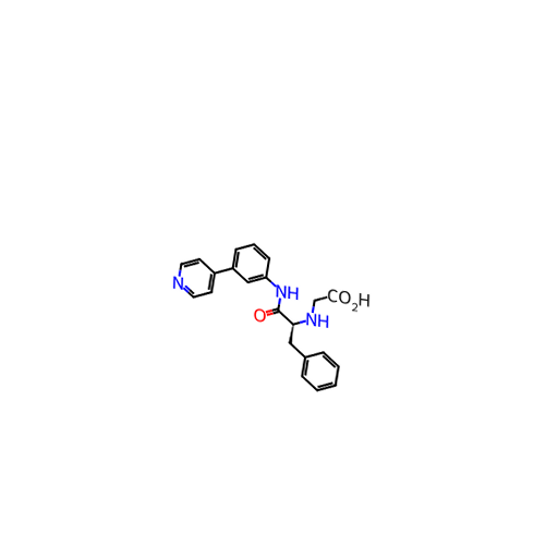 O=C(O)CN[C@@H](Cc1ccccc1)C(=O)Nc1cccc(-c2ccncc2)c1